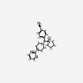 N#Cc1ccc(C(N2CCN(c3ncccn3)CC2)[N+]2([O-])CCCC2)cc1